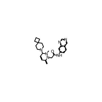 C=C1C=CC(N2CCC3(CCC3)CC2)N(C)N1CC(=O)Nc1ccc2cncnc2c1